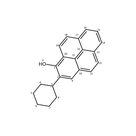 Oc1c(C2CCCCC2)cc2ccc3cccc4ccc1c2c34